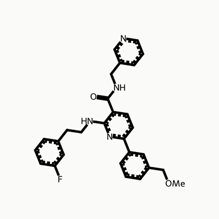 COCc1cccc(-c2ccc(C(=O)NCc3cccnc3)c(NCCc3cccc(F)c3)n2)c1